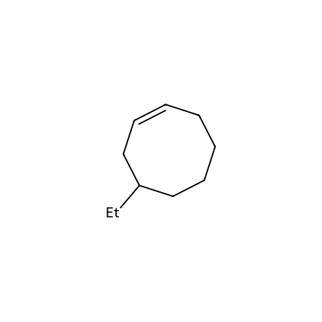 CCC1CC=CCCCC1